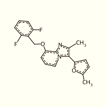 Cc1ccc(-c2c(C)nc3c(OCc4c(F)cccc4F)cccn23)o1